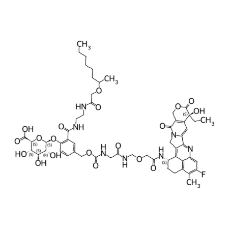 CCCCCCC(C)OCC(=O)NCCNC(=O)c1cc(COC(=O)NCC(=O)NCOCC(=O)N[C@H]2CCc3c(C)c(F)cc4nc5c(c2c34)Cn2c-5cc3c(c2=O)COC(=O)[C@]3(O)CC)ccc1O[C@@H]1O[C@H](C(=O)O)[C@@H](O)[C@H](O)[C@H]1O